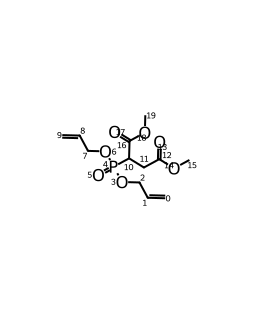 C=CCOP(=O)(OCC=C)C(CC(=O)OC)C(=O)OC